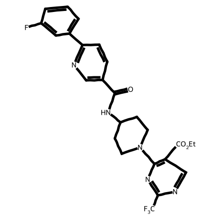 CCOC(=O)c1cnc(C(F)(F)F)nc1N1CCC(NC(=O)c2ccc(-c3cccc(F)c3)nc2)CC1